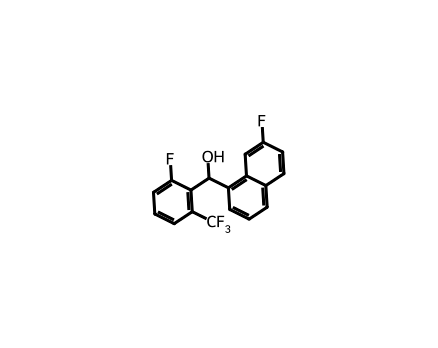 OC(c1c(F)cccc1C(F)(F)F)c1cccc2ccc(F)cc12